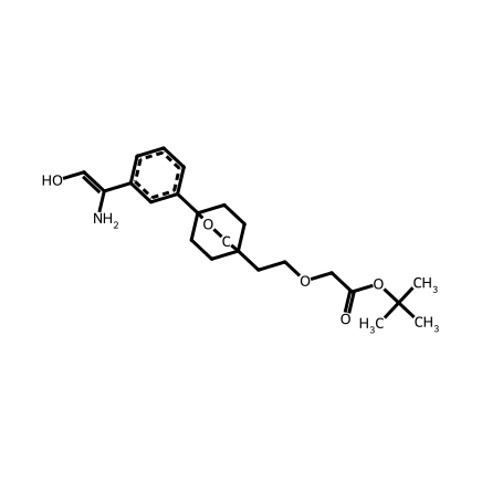 CC(C)(C)OC(=O)COCCC12CCC(c3cccc(/C(N)=C/O)c3)(CC1)OC2